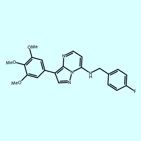 COc1cc(-c2cnn3c(NCc4ccc(F)cc4)ccnc23)cc(OC)c1OC